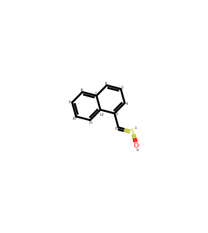 O=S=[C]c1cccc2ccccc12